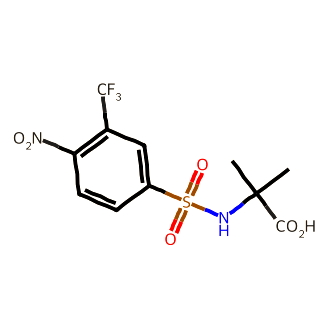 CC(C)(NS(=O)(=O)c1ccc([N+](=O)[O-])c(C(F)(F)F)c1)C(=O)O